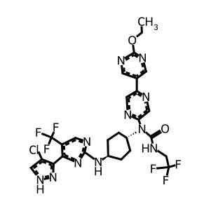 CCOc1ncc(-c2cnc(N(C(=O)NCC(F)(F)F)[C@H]3CC[C@H](Nc4ncc(C(F)(F)F)c(-c5n[nH]cc5Cl)n4)CC3)cn2)cn1